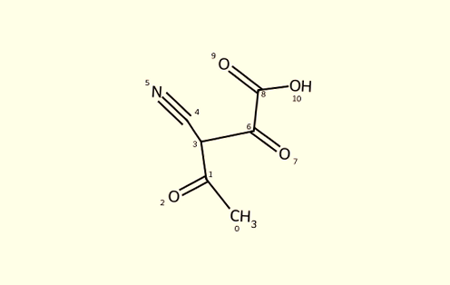 CC(=O)C(C#N)C(=O)C(=O)O